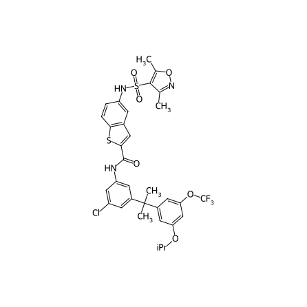 Cc1noc(C)c1S(=O)(=O)Nc1ccc2sc(C(=O)Nc3cc(Cl)cc(C(C)(C)c4cc(OC(C)C)cc(OC(F)(F)F)c4)c3)cc2c1